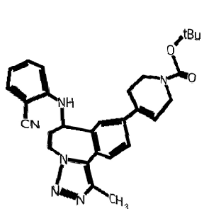 Cc1nnn2c1-c1ccc(C3=CCN(C(=O)OC(C)(C)C)CC3)cc1C(Nc1ccccc1C#N)CC2